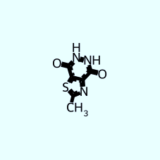 Cc1nc2c(=O)[nH][nH]c(=O)c2s1